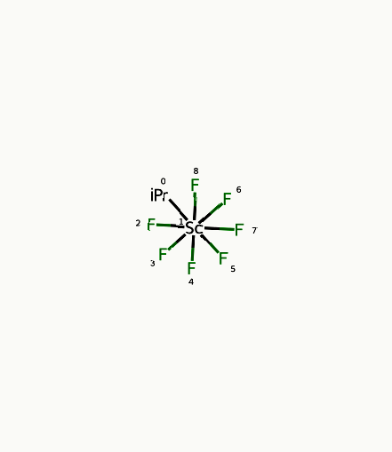 C[CH](C)[Sc]([F])([F])([F])([F])([F])([F])[F]